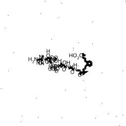 CC(C)(CCCc1ccccc1CCCC1(C(=O)CCNC(=O)CCNC(=O)C(O)C(C)(C)COP(=O)(O)OP(=O)(O)OCC2OC(n3cnc4c(N)ncnc43)C(O)C2OP(=O)(O)O)CC1)C(=O)O